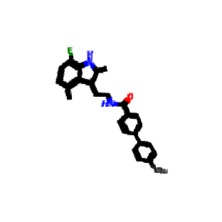 Cc1ccc(F)c2c1C(CCNC(=O)c1ccc(-c3ccc(C(C)(C)C)cc3)cc1)C(C)N2